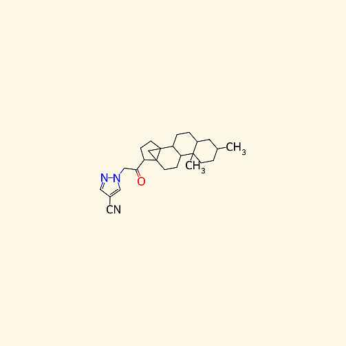 CC1CCC2(C)C(CCC3C2CCC24CC32CCC4C(=O)Cn2cc(C#N)cn2)C1